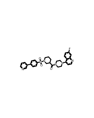 O=C(C1CCCN(S(=O)(=O)c2ccc(-c3cccnc3)cc2)C1)N1CCN(c2ccnc3cc(F)ccc23)CC1